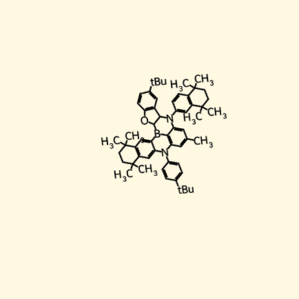 Cc1cc2c3c(c1)N(c1ccc4c(c1)C(C)(C)CCC4(C)C)C1c4cc(C(C)(C)C)ccc4OC1B3c1cc3c(cc1N2c1ccc(C(C)(C)C)cc1)C(C)(C)CCC3(C)C